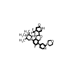 CC1CN(c2cc(F)c(-c3ccnc(N4CCOCC4)c3)c(F)c2NC(=O)c2c[nH]c(=O)cc2C(F)(F)F)CC(C)N1C